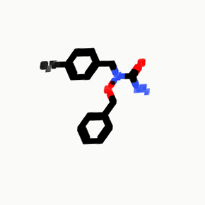 NC(=O)N(Cc1ccc([N+](=O)[O-])cc1)OCc1ccccc1